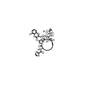 CCc1nc2cccc(F)c2nc1O[C@@H]1C[C@H]2C(=O)N[C@]3(C(=O)NS(=O)(=O)C4(C)CC4)C[C@H]3C=CCCCCC[C@H](NC(=O)c3nccs3)C(=O)N2C1